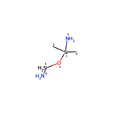 C[Si](C)(N)O[SiH2]N